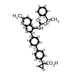 Cc1ccc2c(NC(=O)O[C@H](C)c3ccccc3)c(-c3ccc(-c4ccc(C5(C(=O)O)CC5)cc4)cc3)sc2n1